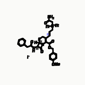 CC[N+](CC)(C/C=C/C1=C(C(=O)OCc2ccc(OC)cc2)N2C(=O)[C@@H](NC(=O)Cc3ccccc3)[C@@H]2SC1)CC(N)=O.[I-]